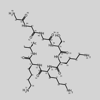 CC(=O)[C@H](C)NC(=O)[C@H](CCCCN)NC(=O)[C@H](CCCCN)NC(=O)[C@H](CCCCN)NC(=O)[C@H](CO)NC(=O)CNC(=O)CNC(=O)CN